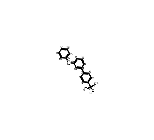 FC(F)(F)c1ccc(-c2[c]ccc(Oc3ccccc3)c2)cc1